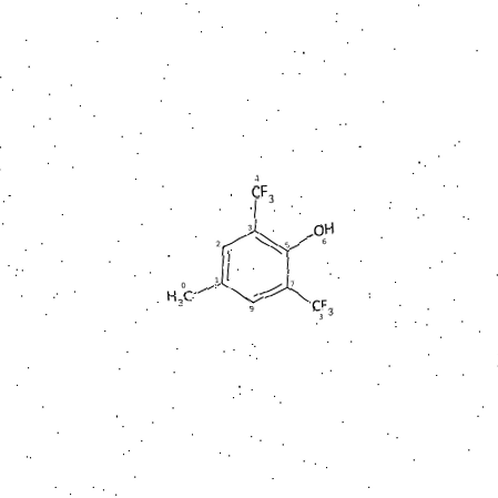 Cc1cc(C(F)(F)F)c(O)c(C(F)(F)F)c1